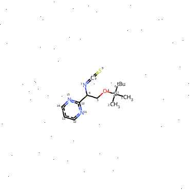 CC(C)(C)[Si](C)(C)OCC(N=C=S)c1ncccn1